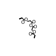 C=CC(=O)OCCC(=O)OC(=O)COC(=O)C=C